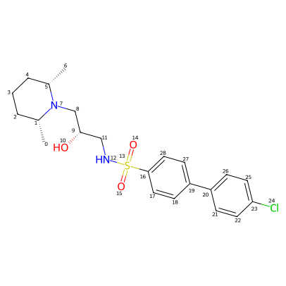 C[C@@H]1CCC[C@H](C)N1C[C@@H](O)CNS(=O)(=O)c1ccc(-c2ccc(Cl)cc2)cc1